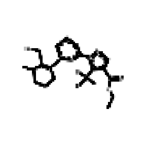 CCOC(=O)c1cnn(-c2cccc(C3=C(CO)C(C)CCC3)n2)c1C(F)(F)F